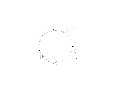 C/C=C/C[C@@H](C)[C@@H](O)[C@H]1C(=O)N[C@@H](CC)C(=O)N(C)[C@H](CCN(C)C)C(=O)N(C)[C@@H](C(C)CC)C(=O)N[C@@H](C(C)C)C(=O)N(C)[C@@H](CC(C)C)C(=O)N[C@@H](C)C(=O)N[C@H](C)C(=O)N(C)[C@@H](CC(C)C)C(=O)N(C)[C@@H](CC(C)C)C(=O)N(C)[C@@H](C(C)C)C(=O)N1C